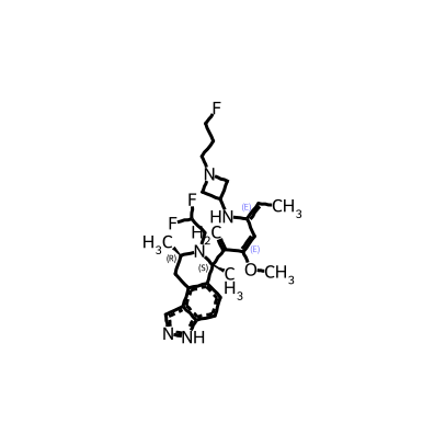 C=C(/C(=C\C(=C/C)NC1CN(CCCF)C1)OC)[C@]1(C)c2ccc3[nH]ncc3c2C[C@@H](C)N1CC(F)F